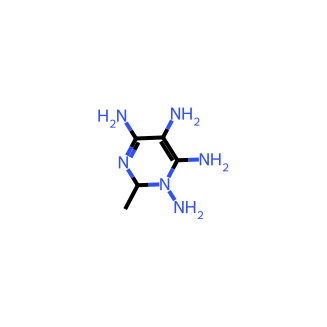 CC1N=C(N)C(N)=C(N)N1N